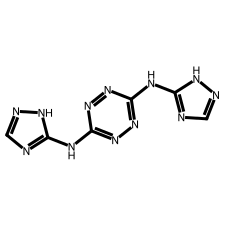 c1n[nH]c(Nc2nnc(Nc3ncn[nH]3)nn2)n1